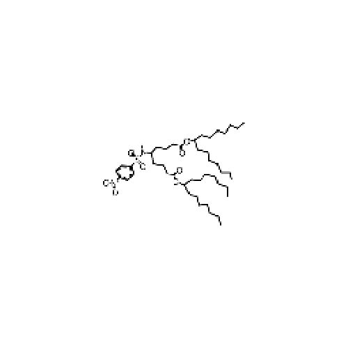 CCCCCCCC(CCCCCCC)OC(=O)CCCC(CCCC(=O)OC(CCCCCCC)CCCCCCC)N(C)S(=O)(=O)c1ccc([N+](=O)[O-])cc1